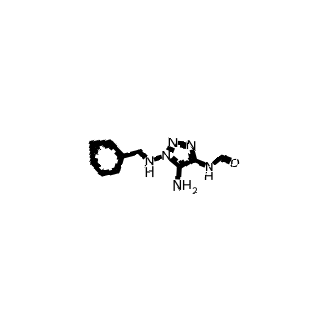 Nc1c(NC=O)nnn1NCc1ccccc1